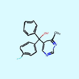 COc1ncncc1C(O)(c1ccccc1)c1ccc(F)cc1